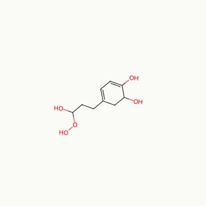 OOC(O)CCC1=CC=C(O)C(O)C1